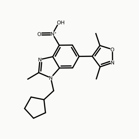 Cc1noc(C)c1-c1cc([N+](=O)O)c2nc(C)n(CC3CCCC3)c2c1